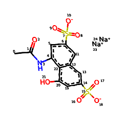 CC(=O)Nc1cc(S(=O)(=O)[O-])cc2cc(S(=O)(=O)[O-])cc(O)c12.[Na+].[Na+]